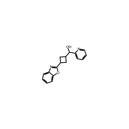 OC(c1ccccn1)C1CC(c2nc3ccccc3o2)C1